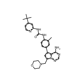 Cc1cc(-c2cc(CN3CCOCC3)n3ncnc(N)c23)ccc1NC(=O)Nc1cc(C(C)(C)C)ccn1